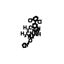 Cc1nc(Nc2nnc3cc(-c4c(Cl)cccc4Cl)cc(C)c3n2)cc(OCCN2CCCC2)n1